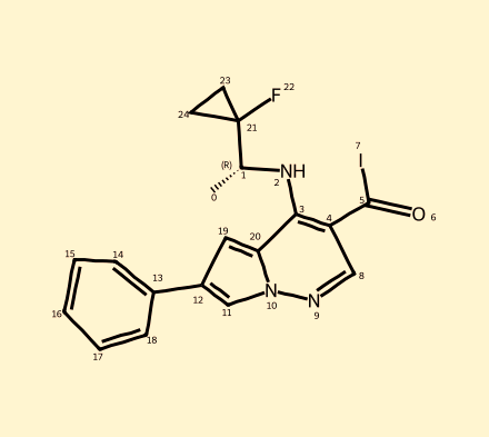 C[C@@H](Nc1c(C(=O)I)cnn2cc(-c3ccccc3)cc12)C1(F)CC1